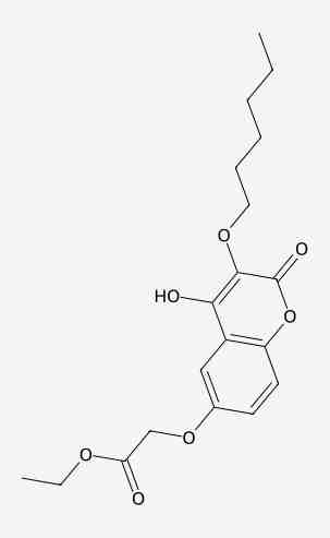 CCCCCCOc1c(O)c2cc(OCC(=O)OCC)ccc2oc1=O